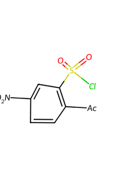 CC(=O)c1ccc([N+](=O)[O-])cc1S(=O)(=O)Cl